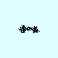 CCC(C)Oc1c(OC)cc(C=Cc2ccc(-c3cc(OC)c(OC(C)CC)c(OC)c3)cc2)cc1OC